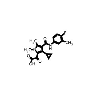 Cc1cc(NC(=O)c2c(C3CC3)c(C(=O)C(=O)O)n(C)c2C)ccc1F